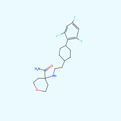 NC(=O)C1(NCCC2CCC(c3c(F)cc(F)cc3F)CC2)CCOCC1